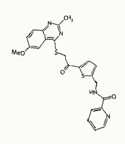 COc1ccc2nc(C)nc(SCC(=O)c3ccc(CNC(=O)c4ccccn4)s3)c2c1